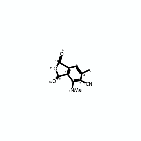 CNc1c(C#N)c(C)cc2c1C(=O)OC2=O